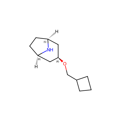 C1CC(CO[C@H]2C[C@H]3CC[C@@H](C2)N3)C1